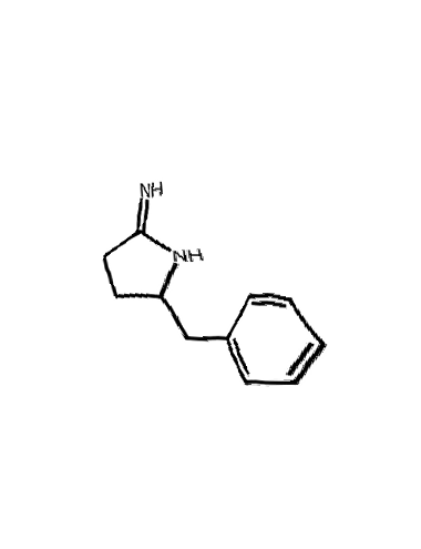 N=C1CCC(Cc2ccccc2)N1